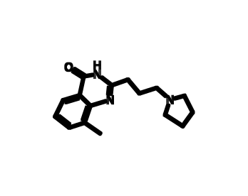 Cc1cccc2c(=O)[nH]c(CCCN3CCCC3)nc12